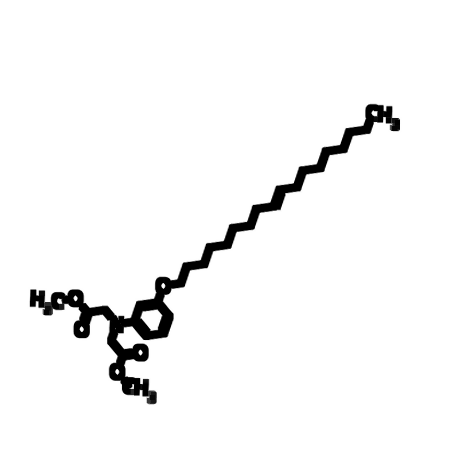 CCCCCCCCC=CCCCCCCCCOc1cccc(N(CC(=O)OC)CC(=O)OC)c1